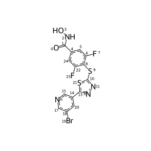 O=C(NO)c1cc(F)c(Sc2nnc(-c3cncc(Br)c3)s2)c(F)c1